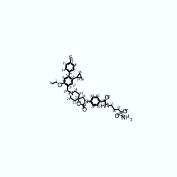 CCOc1cc(-c2ccc(F)cc2)c(C2CC2)cc1CN1CCC2(CC1)CN(c1ccc(C(=O)NCCCS(N)(=O)=O)cc1)C(=O)O2